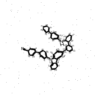 N#Cc1ccc(-c2ccc(-n3c4ccccc4c4cc(-c5cccc(C6C=CC=CC6Nc6ccc(-c7ccccc7)cc6)c5)ccc43)cc2)cc1